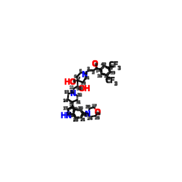 O=C(C=CN1CCC(O)(C(O)CN2CCC(c3c[nH]c4ccc(N5CCOCC5)cc34)CC2)CC1)c1cc(C(F)(F)F)cc(C(F)(F)F)c1